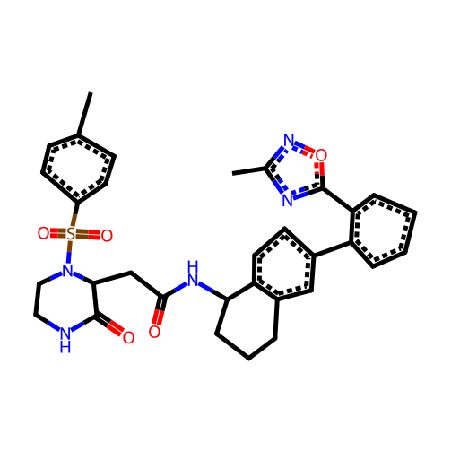 Cc1ccc(S(=O)(=O)N2CCNC(=O)C2CC(=O)NC2CCCc3cc(-c4ccccc4-c4nc(C)no4)ccc32)cc1